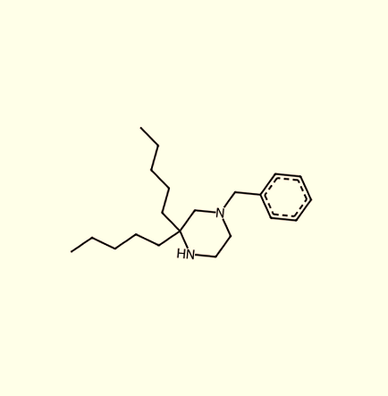 CCCCCC1(CCCCC)CN(Cc2ccccc2)CCN1